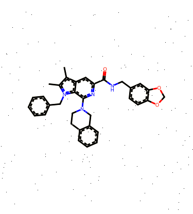 Cc1c(C)n(Cc2ccccc2)c2c(N3CCc4ccccc4C3)nc(C(=O)NCc3ccc4c(c3)OCO4)cc12